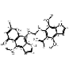 COc1c(C(C)=O)c(OCOc2c3occc3c(OC)c3c(=O)cc(C)oc23)c(OC)c2occc12